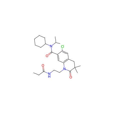 CCC(=O)NCCN1C(=O)C(C)(C)Cc2cc(Cl)c(C(=O)N(C(C)C)C3CCCCC3)cc21